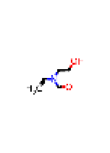 C=CN(C=O)CCO